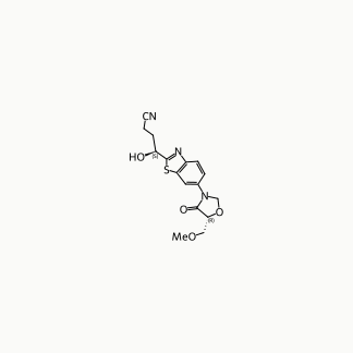 COC[C@H]1OCN(c2ccc3nc([C@@H](O)CCC#N)sc3c2)C1=O